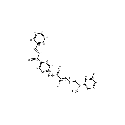 Cc1cccc(N(N)CCNC(=O)C(=O)Nc2ccc(C(=O)/C=C/c3ccccn3)cc2)n1